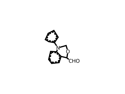 O=CC1OCN(c2ccccc2)c2ccccc21